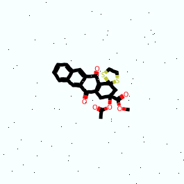 COC(=O)C1(OC(C)=O)CC2=C(C(=O)c3cc4ccccc4cc3C2=O)C2(C1)SCCS2